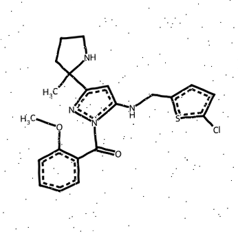 COc1ccccc1C(=O)n1nc(C2(C)CCCN2)cc1NCc1ccc(Cl)s1